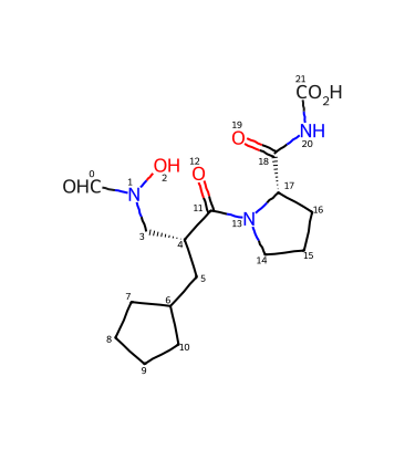 O=CN(O)C[C@@H](CC1CCCC1)C(=O)N1CCC[C@H]1C(=O)NC(=O)O